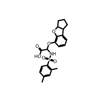 Cc1ccc(S(=O)(=O)NC(Oc2cccc3c2OC2CCCC32)C(=O)O)c(C)c1